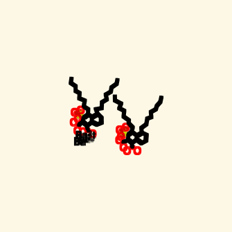 CCCCCCCCCc1cccc2c(C(=O)[O-])c(C(=O)[O-])c(S(=O)(=O)[O-])c(CCCCCCCCC)c12.CCCCCCCCCc1cccc2c(C(=O)[O-])c(C(=O)[O-])c(S(=O)(=O)[O-])c(CCCCCCCCC)c12.[Ba+2].[Ba+2].[Ba+2]